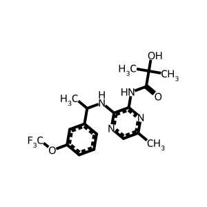 Cc1cnc(NC(C)c2cccc(OC(F)(F)F)c2)c(NC(=O)C(C)(C)O)n1